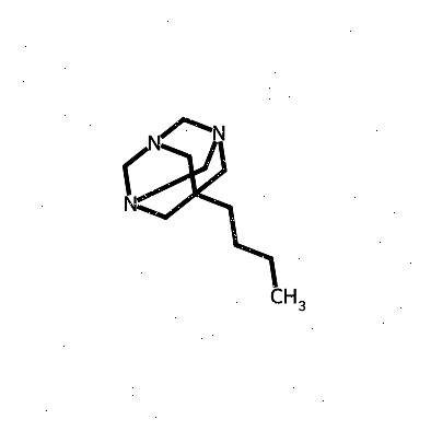 CCCCC12CN3CN(CN(C3)C1)C2